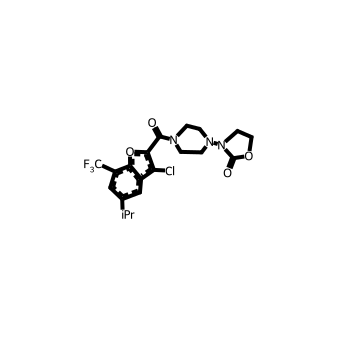 CC(C)c1cc(C(F)(F)F)c2oc(C(=O)N3CCN(N4CCOC4=O)CC3)c(Cl)c2c1